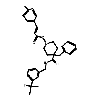 O=C(C=Cc1ccc(F)cc1)ON1CCC(Cc2ccccc2)(C(=O)NCc2cccc(C(F)(F)F)c2)CC1